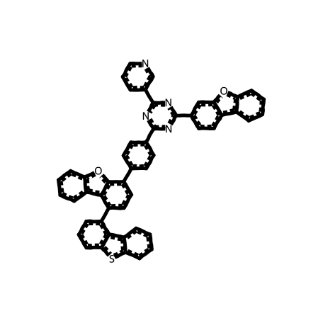 c1cncc(-c2nc(-c3ccc(-c4ccc(-c5cccc6sc7ccccc7c56)c5c4oc4ccccc45)cc3)nc(-c3ccc4c(c3)oc3ccccc34)n2)c1